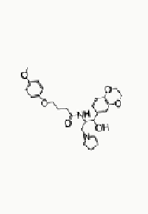 COc1ccc(OCCCC(=O)N[C@H](CN2CCCC2)[C@H](O)c2ccc3c(c2)OCCO3)cc1